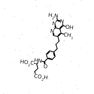 Cc1c(CCCc2ccc(C(=O)N[C@@H](CCC(=O)O)C(=O)O)cc2)cnc2nc(N)nc(O)c12